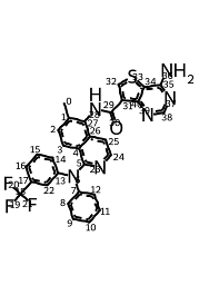 Cc1ccc2c(N(c3ccccc3)c3cccc(C(F)(F)F)c3)nccc2c1NC(=O)c1csc2c(N)ncnc12